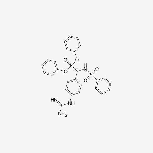 N=C(N)Nc1ccc(C(NS(=O)(=O)c2ccccc2)P(=O)(Oc2ccccc2)Oc2ccccc2)cc1